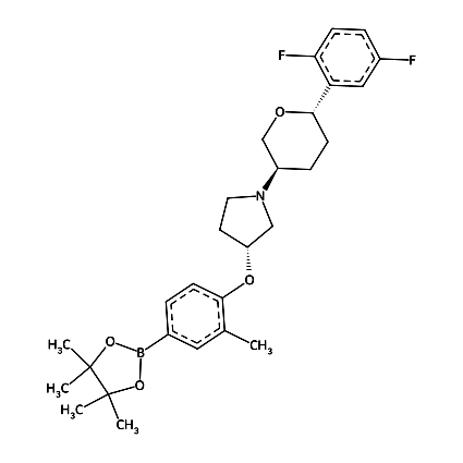 Cc1cc(B2OC(C)(C)C(C)(C)O2)ccc1O[C@@H]1CCN([C@@H]2CC[C@@H](c3cc(F)ccc3F)OC2)C1